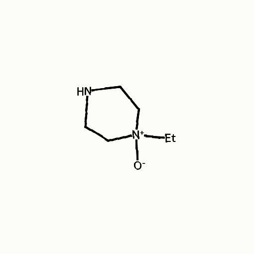 CC[N+]1([O-])CCNCC1